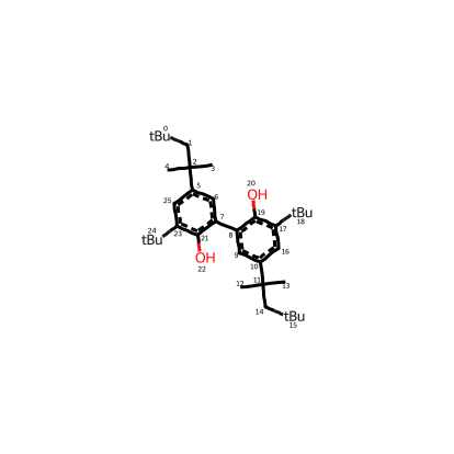 CC(C)(C)CC(C)(C)c1cc(-c2cc(C(C)(C)CC(C)(C)C)cc(C(C)(C)C)c2O)c(O)c(C(C)(C)C)c1